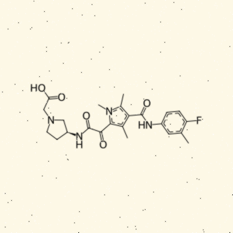 Cc1cc(NC(=O)c2c(C)c(C(=O)C(=O)N[C@H]3CCN(CC(=O)O)C3)n(C)c2C)ccc1F